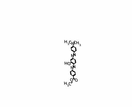 CCOC(=O)c1ccc(/N=N/c2ccc(/N=N/c3ccc(N(C)C)cc3)cc2O)cc1